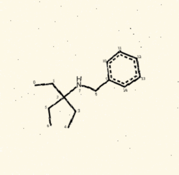 CCC(CC)(CC)NCc1ccccc1